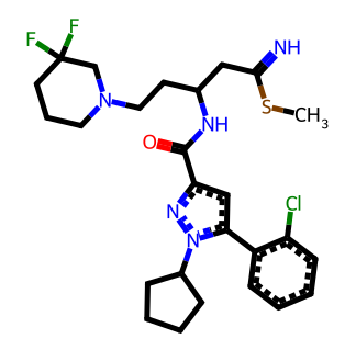 CSC(=N)CC(CCN1CCCC(F)(F)C1)NC(=O)c1cc(-c2ccccc2Cl)n(C2CCCC2)n1